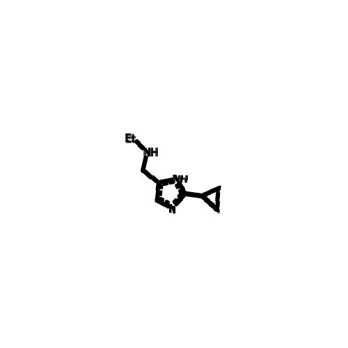 CCNCc1cnc(C2CC2)[nH]1